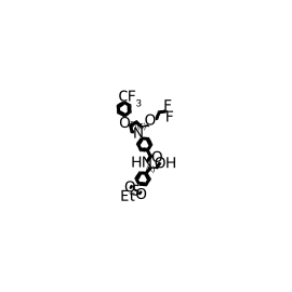 CCS(=O)(=O)c1ccc([C@H](CO)NC(=O)c2ccc(N3C[C@H](Oc4ccc(C(F)(F)F)cc4)C[C@H]3COCCC(F)F)cc2)cc1